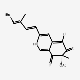 CC[C@H](C)/C=C(C)/C=C/C1=CC2=C(Cl)C(=O)[C@](C)(OC(C)=O)C(=O)C2=CN1